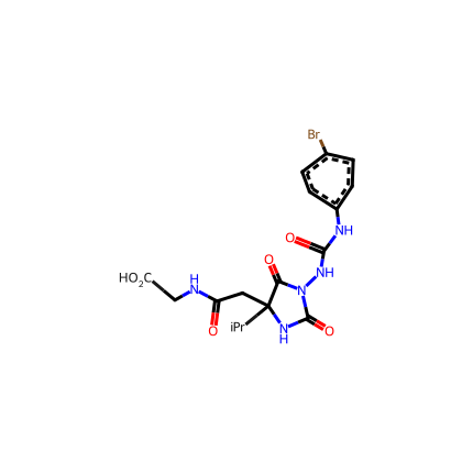 CC(C)C1(CC(=O)NCC(=O)O)NC(=O)N(NC(=O)Nc2ccc(Br)cc2)C1=O